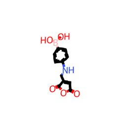 O=C1C=C(CNc2ccc(B(O)O)cc2)C(=O)O1